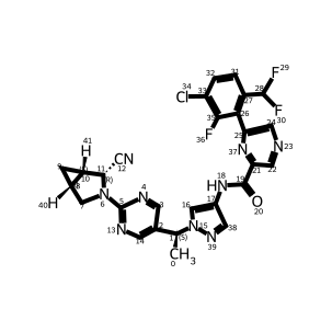 C[C@@H](c1cnc(N2C[C@@H]3C[C@@H]3[C@@H]2C#N)nc1)n1cc(NC(=O)c2cncc(-c3c(C(F)F)ccc(Cl)c3F)n2)cn1